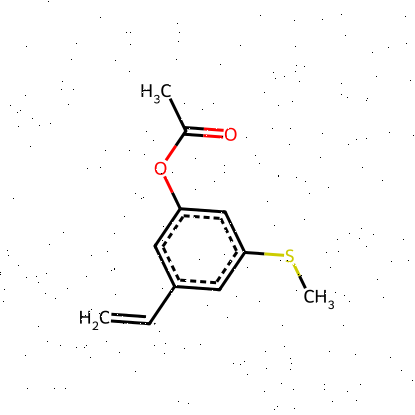 C=[C]c1cc(OC(C)=O)cc(SC)c1